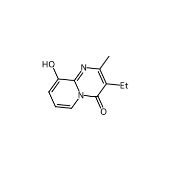 CCc1c(C)nc2c(O)cccn2c1=O